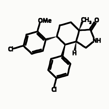 COc1cc(Cl)ccc1[C@@H]1CC[C@@]2(C)C(=O)NC[C@H]2[C@H]1c1ccc(Cl)cc1